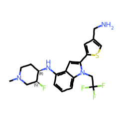 CN1CC[C@@H](Nc2cccc3c2cc(-c2cc(CN)cs2)n3CC(F)(F)F)[C@@H](F)C1